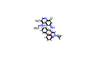 CC(C)(C)CNc1c(C#N)cnc2c(Cl)cc(N[C@H](c3cn(C4CC4)nn3)c3ccccc3-c3ccccc3)cc12